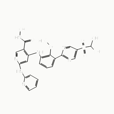 CNC(=O)c1cnc(Nc2ccccn2)cc1Nc1cccc(-c2ncc(S(=O)(=O)C(C)C)cn2)c1OC